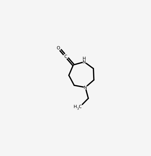 CCN1CCNC(=C=O)CC1